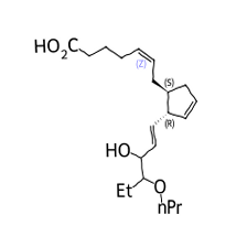 CCCOC(CC)C(O)C=C[C@H]1C=CC[C@@H]1C/C=C\CCCC(=O)O